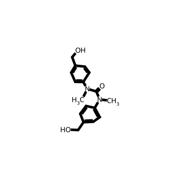 CN(C(=O)N(C)c1ccc(CO)cc1)c1ccc(CO)cc1